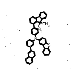 CC1(C)c2ccccc2-c2cccc(-c3ccc(N(c4cccc(-c5ccc6ccccc6c5)c4)c4ccc5sc6ccccc6c5c4)cc3)c21